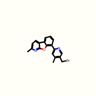 Cc1ccc2c(n1)oc1c(-c3cc(C)c(CC(C)C)cn3)cccc12